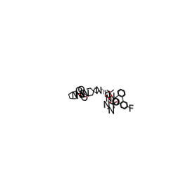 C=CC(=O)N1C2CCC1CN(S(=O)(=O)N1CCC3(CC1)CN(C[C@@H]1CCN(c4ncncc4Oc4ccc(F)cc4-c4ccccc4C(=O)N(C(C)C)C(C)C)C1)C3)C2